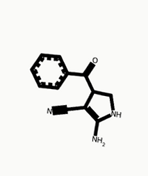 N#CC1=C(N)NCC1C(=O)c1ccccc1